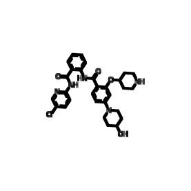 O=C(Nc1ccc(Cl)cn1)c1ccccc1NC(=O)c1ccc(N2CCC(O)CC2)cc1OC1CCNCC1